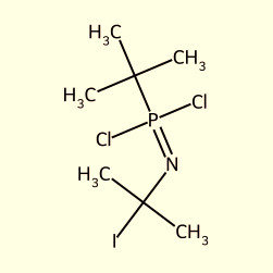 CC(C)(I)N=P(Cl)(Cl)C(C)(C)C